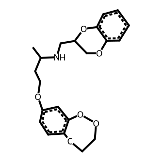 CC(CCOc1ccc2c(c1)OOCCC2)NCC1COc2ccccc2O1